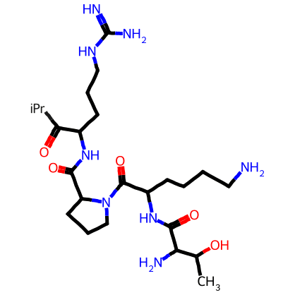 CC(C)C(=O)C(CCCNC(=N)N)NC(=O)C1CCCN1C(=O)C(CCCCN)NC(=O)C(N)C(C)O